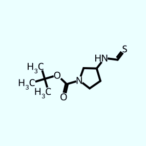 CC(C)(C)OC(=O)N1CCC(NC=S)C1